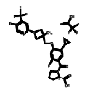 CC1(COc2cc(F)c(C(=O)N3CCC[C@H]3C(=O)O)cc2C2CC2)CN(c2cc(C(F)(F)F)c(Cl)cn2)C1.O=C(O)C(F)(F)F